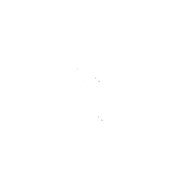 CC(C)(C)OC(=O)N1CC2CC2C1C#N